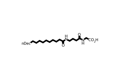 CCCCCCCCCCCCCCCCCCCC(=O)NCCCC(=O)NCC(=O)O